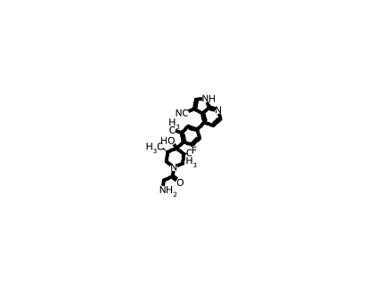 Cc1cc(-c2ccnc3[nH]cc(C#N)c23)cc(F)c1C1(O)[C@H](C)CN(C(=O)CN)C[C@@H]1C